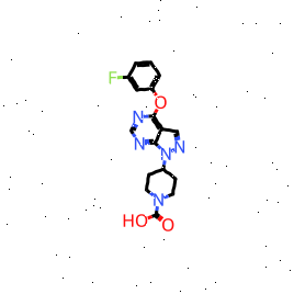 O=C(O)N1CCC(n2ncc3c(Oc4cccc(F)c4)ncnc32)CC1